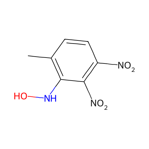 Cc1ccc([N+](=O)[O-])c([N+](=O)[O-])c1NO